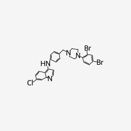 Clc1ccc2c(Nc3ccc(CN4CCN(c5ccc(Br)cc5Br)CC4)cc3)ccnc2c1